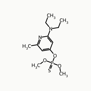 CCN(CC)c1cc(OP(=S)(OC)OC)cc(C)n1